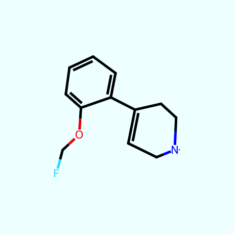 FCOc1ccccc1C1=CC[N]CC1